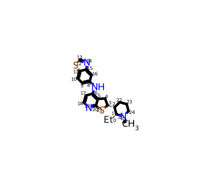 CC[C@@H]1[C@H](C2Cc3c(Nc4ccc5scnc5c4)ccnc3S2)CCCN1C